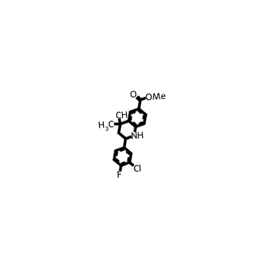 COC(=O)c1ccc2c(c1)C(C)(C)CC(c1ccc(F)c(Cl)c1)N2